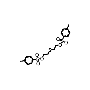 Cc1ccc(S(=O)(=O)OCCSCCOS(=O)(=O)c2ccc(C)cc2)cc1